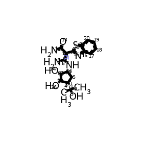 CC(C)(O)[C@H]1C[C@@H](N/C(N)=C(/C(N)=O)c2nc3ccccc3s2)[C@H](O)[C@@H]1O